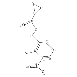 Cc1c(COC(=O)C2CC2)cccc1[N+](=O)[O-]